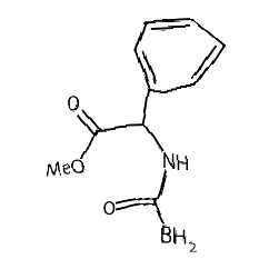 BC(=O)NC(C(=O)OC)c1ccccc1